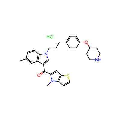 Cc1ccc2c(c1)c(C(=O)c1cc3sccc3n1C)cn2CCCc1ccc(OC2CCNCC2)cc1.Cl